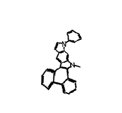 Cn1c2cc3c(ccn3-c3ccccc3)cc2c2c3ccccc3c3ccccc3c21